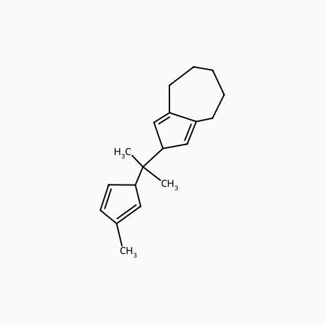 CC1=CC(C(C)(C)C2C=C3CCCCCC3=C2)C=C1